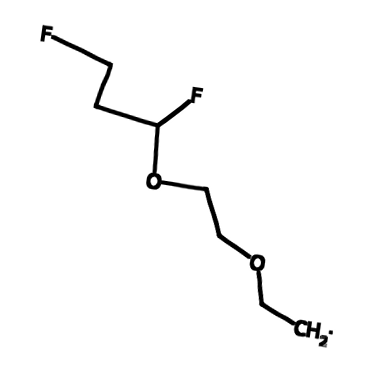 [CH2]COCCOC(F)CCF